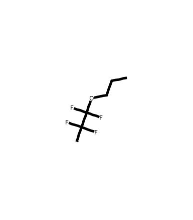 [CH2]C(F)(F)C(F)(F)OCCC